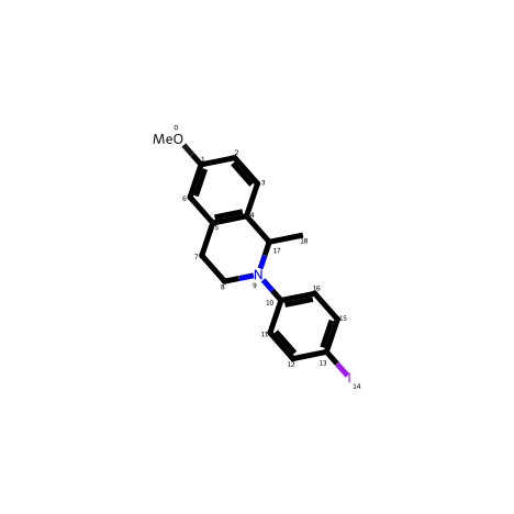 COc1ccc2c(c1)CCN(c1ccc(I)cc1)C2C